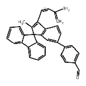 BC(=C)/C=C\C1=C(C)C2(c3cc(-c4ccc(C=O)cc4)ccc31)c1ccccc1-c1ccccc12